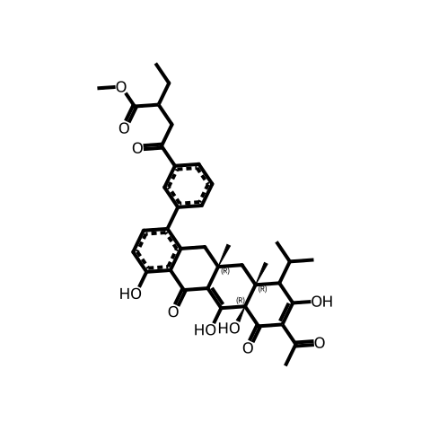 CCC(CC(=O)c1cccc(-c2ccc(O)c3c2C[C@]2(C)C[C@]4(C)C(C(C)C)C(O)=C(C(C)=O)C(=O)[C@]4(O)C(O)=C2C3=O)c1)C(=O)OC